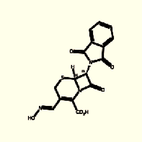 O=C(O)C1=C(C=NO)CS[C@H]2[C@H](N3C(=O)c4ccccc4C3=O)C(=O)N12